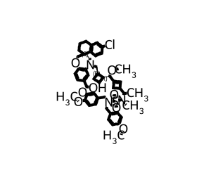 COc1ccc(CN(Cc2ccc(OC)cc2)S(=O)(=O)N(C)C(C)C2C=C(C(OC)[C@@H]3CC[C@H]3CN3C[C@@]4(CCCc5cc(Cl)ccc54)COc4ccc(C(=O)O)cc43)C2)cc1